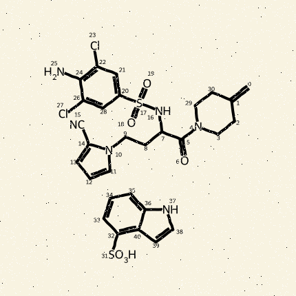 C=C1CCN(C(=O)C(CCn2cccc2C#N)NS(=O)(=O)c2cc(Cl)c(N)c(Cl)c2)CC1.O=S(=O)(O)c1cccc2[nH]ccc12